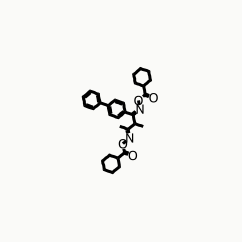 C/C(=N\OC(=O)C1CCCCC1)C(C)/C(=N/OC(=O)C1CCCCC1)c1ccc(-c2ccccc2)cc1